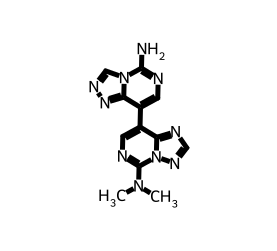 CN(C)c1ncc(-c2cnc(N)n3cnnc23)c2ncnn12